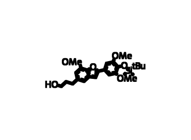 COc1cc(-c2cc3cc(CCCO)cc(OC)c3o2)cc(OC)c1O[Si](C)(C)C(C)(C)C